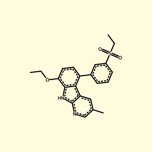 CCOc1ccc(-c2cccc(S(=O)(=O)CC)c2)c2c1[nH]c1ncc(C)cc12